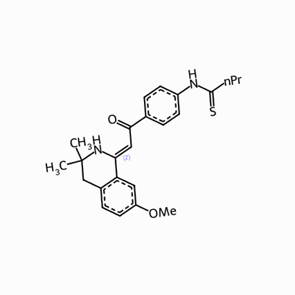 CCCC(=S)Nc1ccc(C(=O)/C=C2\NC(C)(C)Cc3ccc(OC)cc32)cc1